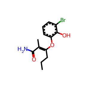 CCCC(Oc1cccc(Br)c1O)=C(C)C(N)=O